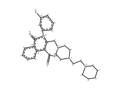 O=C(O)c1c(CN2CCN(CCN3CCCCC3)CC2)n(-c2cccc(F)c2)c(=O)c2ccccc12